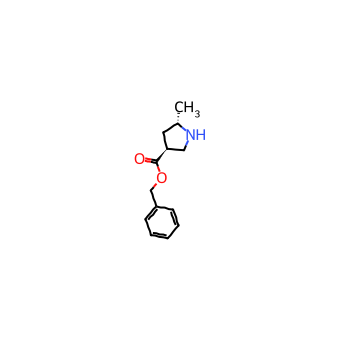 C[C@H]1C[C@H](C(=O)OCc2ccccc2)CN1